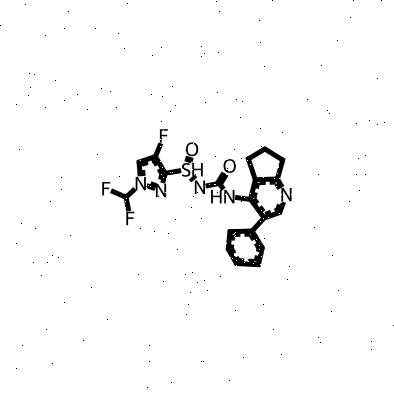 O=C(/N=[SH](=O)/c1nn(C(F)F)cc1F)Nc1c(-c2ccccc2)cnc2c1CCC2